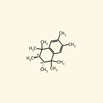 Cc1cc2c(cc1C)C(C)(C)[C@H](C)[C@@H](C)C2(C)C